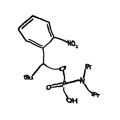 CC(C)N(C(C)C)P(=O)(O)OC(c1ccccc1[N+](=O)[O-])C(C)(C)C